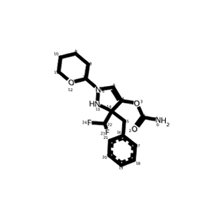 NC(=O)OC1=CN(C2CCCCO2)NC1(Cc1ccccc1)C(F)F